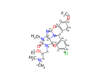 CCOC(CN(C)C)Cn1c(=O)c2c(nc(Oc3cccc(OC(F)(F)F)c3)n2Cc2ccc(Cl)cc2)n(C)c1=O